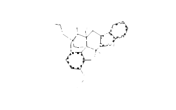 COc1ccc2c3c1O[C@H]1c4[nH]c5ccccc5c4C[C@@]4(O)[C@@H](C2)N(CCO)CC[C@]314